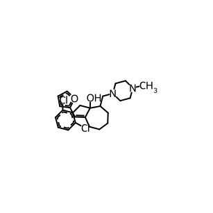 CN1CCN(CC2CCCCC(=Cc3ccco3)C2(O)Cc2c(Cl)cccc2Cl)CC1